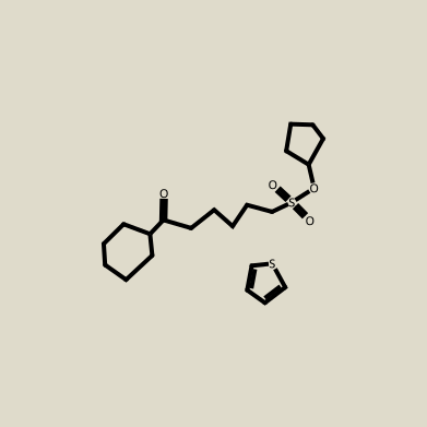 O=C(CCCCCS(=O)(=O)OC1CCCC1)C1CCCCC1.c1ccsc1